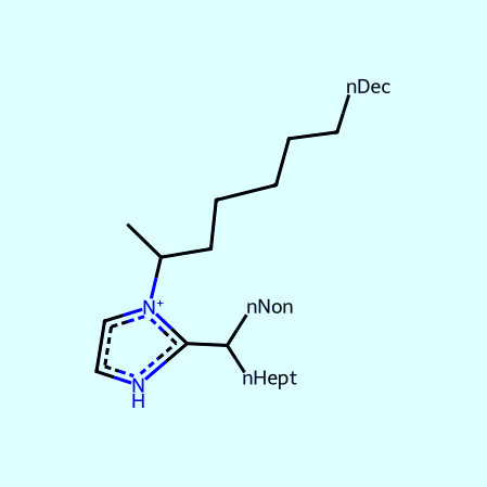 CCCCCCCCCCCCCCCC(C)[n+]1cc[nH]c1C(CCCCCCC)CCCCCCCCC